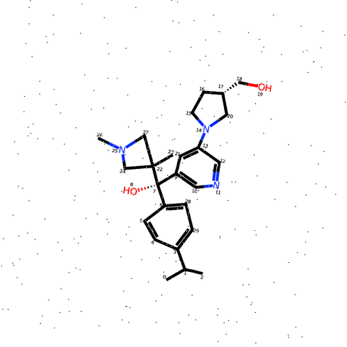 CC(C)c1ccc([C@](O)(c2cncc(N3CC[C@H](CO)C3)c2)C2(C)CN(C)C2)cc1